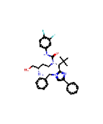 CC(C)(C)[C@H](c1nc(-c2ccccc2)cn1Cc1ccccc1)N(CC[C@H](N)CO)C(=O)Nc1ccc(F)c(F)c1